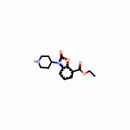 CCOC(=O)c1cccc2c1oc(=O)n2C1CCNCC1